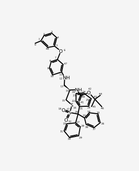 Cc1cccc(Oc2cccc(NC[C@H](CSS(=O)(=O)C(c3ccccc3)(c3ccccc3)c3ccccc3)NC(=O)OC(C)(C)C)c2)c1